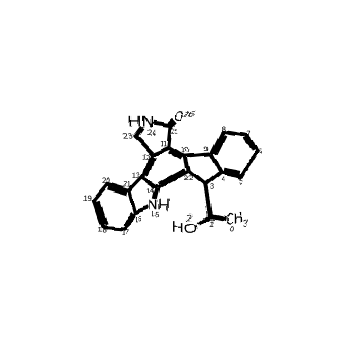 CC(O)C1c2ccccc2-c2c3c(c4c([nH]c5ccccc54)c21)CNC3=O